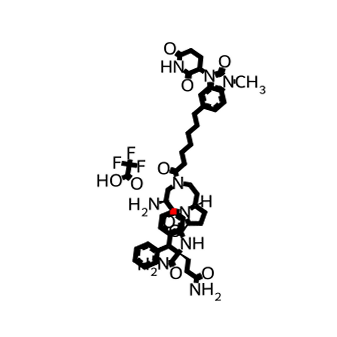 Cn1c(=O)n(C2CCC(=O)NC2=O)c2cc(CCCCCCC(=O)N3CC[C@H]4CC[C@@H](C(=O)N[C@](CCC(N)=O)(C(N)=O)C(c5ccccc5)c5ccccc5)N4C(=O)[C@@H](N)C3)ccc21.O=C(O)C(F)(F)F